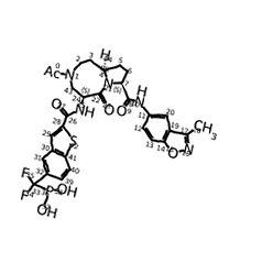 CC(=O)N1CC[C@H]2CC[C@@H](C(=O)Nc3ccc4onc(C)c4c3)N2C(=O)[C@@H](NC(=O)c2cc3cc(C(F)(F)P(O)O)ccc3s2)C1